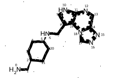 NC[C@H]1CC[C@H](NCc2c[nH]c3ncc4nncn4c23)CC1